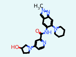 Cn1cc2cc(NC(=O)c3cc(N4CCC(O)C4)ccn3)c(N3CCCCC3)cc2n1